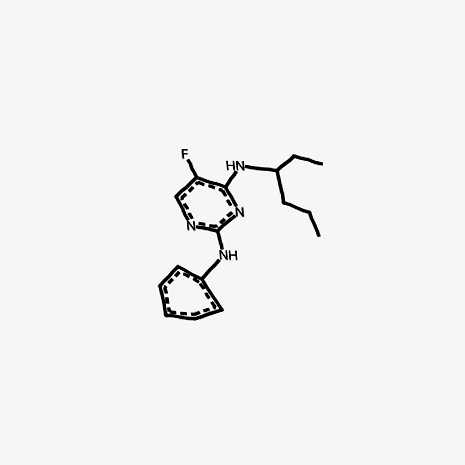 CCCC(CC)Nc1nc(Nc2ccccc2)ncc1F